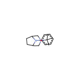 CC(C)(C)N1CC2CCC(C1)N2c1ccccc1